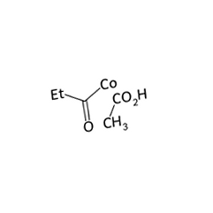 CC(=O)O.CC[C](=O)[Co]